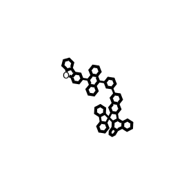 c1cc(-c2ccc3cc4c(cc3c2)C2(c3ccccc3-c3ccccc32)c2c-4c3ccccc3c3ccccc23)cc(-c2c3ccccc3c(-c3ccc4oc5ccccc5c4c3)c3ccccc23)c1